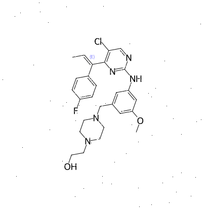 C/C=C(\c1ccc(F)cc1)c1nc(Nc2cc(CN3CCN(CCO)CC3)cc(OC)c2)ncc1Cl